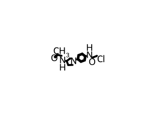 CC(=O)CNC1CCN(c2ccc(NC(=O)CCl)cc2)C1